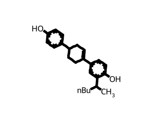 CCCCC(C)c1cc(C2=CCC(c3ccc(O)cc3)CC2)ccc1O